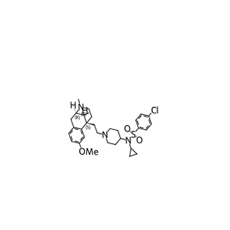 COc1ccc2c(c1)[C@@]1(CCN3CCC(N(C4CC4)S(=O)(=O)c4ccc(Cl)cc4)CC3)CCN(C)[C@H](C2)[C@@H]1C